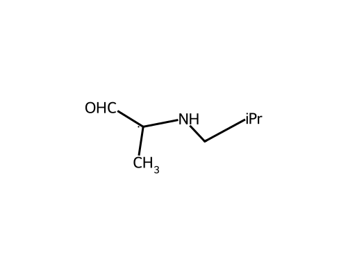 C[C](C=O)NCC(C)C